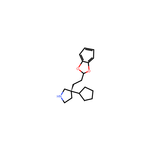 [CH]1CCCC1[C@]1(CCC2Oc3ccccc3O2)CCNC1